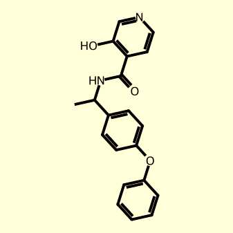 CC(NC(=O)c1ccncc1O)c1ccc(Oc2ccccc2)cc1